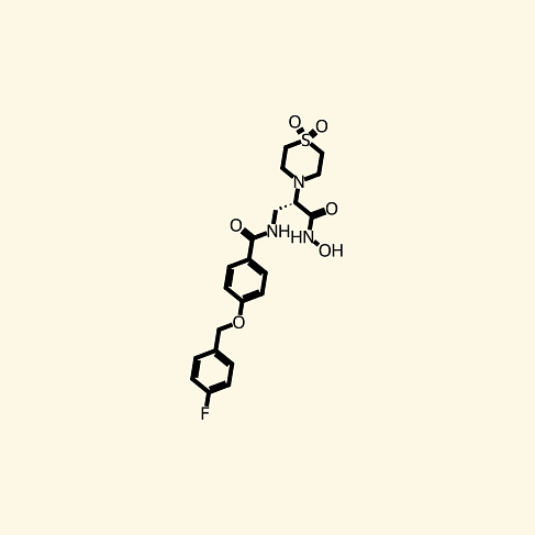 O=C(NC[C@@H](C(=O)NO)N1CCS(=O)(=O)CC1)c1ccc(OCc2ccc(F)cc2)cc1